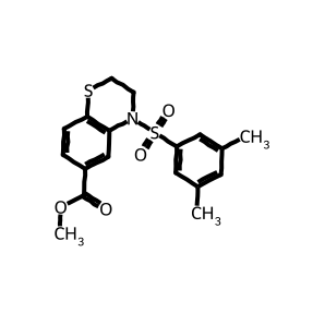 COC(=O)c1ccc2c(c1)N(S(=O)(=O)c1cc(C)cc(C)c1)CCS2